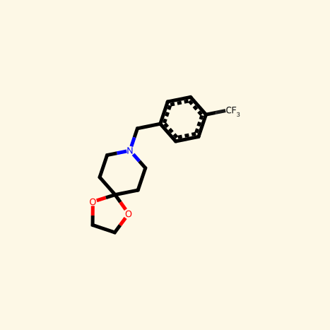 FC(F)(F)c1ccc(CN2CCC3(CC2)OCCO3)cc1